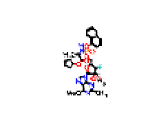 COc1nc(C)nc2c1ncn2[C@@H]1O[C@H](COP(=O)(N[C@@H](C)C(=O)OC2CCCC2)Oc2cccc3ccccc23)[C@@H](F)[C@@]1(C)O